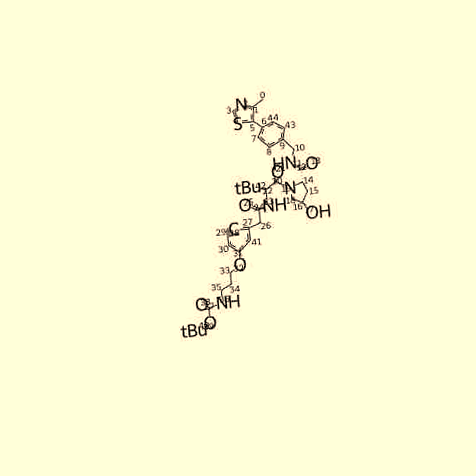 Cc1ncsc1-c1ccc(CNC(=O)[C@@H]2C[C@@H](O)CN2C(=O)[C@@H](NC(=O)Cc2cccc(OCCCNC(=O)OC(C)(C)C)c2)C(C)(C)C)cc1